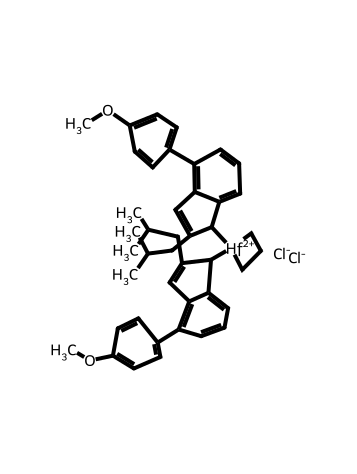 COc1ccc(-c2cccc3c2C=C(CC(C)C)[CH]3[Hf+2]2([CH]3C(CC(C)C)=Cc4c(-c5ccc(OC)cc5)cccc43)[CH2]C[CH2]2)cc1.[Cl-].[Cl-]